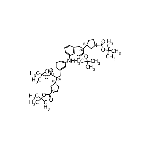 CC(C)(C)OC(=O)[C@@H](Cc1cccc(Nc2cccc(C[C@H](C(=O)OC(C)(C)C)[C@H]3CCN(C(=O)OC(C)(C)C)C3)c2)c1)[C@H]1CCN(C(=O)OC(C)(C)C)C1